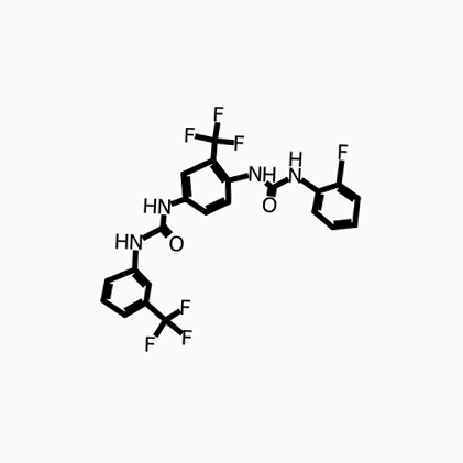 O=C(Nc1cccc(C(F)(F)F)c1)Nc1ccc(NC(=O)Nc2ccccc2F)c(C(F)(F)F)c1